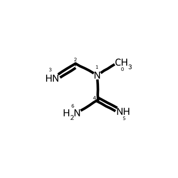 CN([C]=N)C(=N)N